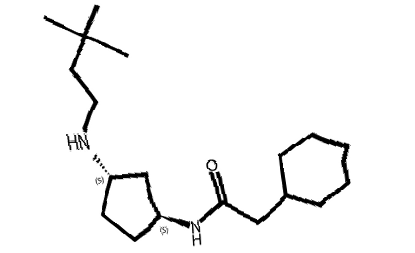 CC(C)(C)CCN[C@H]1CC[C@H](NC(=O)CC2CCCCC2)C1